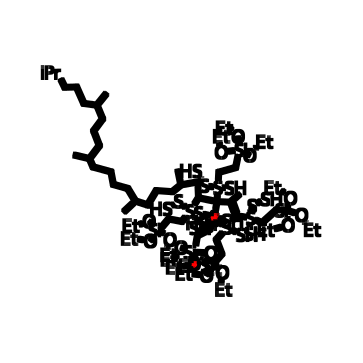 CCO[Si](CCS(S)(SS)C(=C(C)C(C(CC(C)CCCC(C)CCCCC(C)CCCC(C)CCCC(C)C)S(S)(CC[Si](OCC)(OCC)OCC)SS)(S(S)(CC[Si](OCC)(OCC)OCC)SS)S(S)(CC[Si](OCC)(OCC)OCC)SS)S(S)(CC[Si](OCC)(OCC)OCC)SS)(OCC)OCC